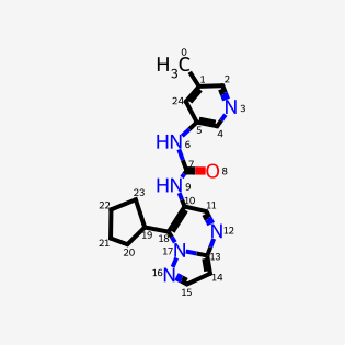 Cc1cncc(NC(=O)Nc2cnc3ccnn3c2C2CCCC2)c1